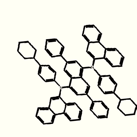 c1ccc(-c2cc(N(c3ccc(C4CCCCC4)cc3)c3cc4ccccc4c4ccccc34)c3cc(-c4ccccc4)cc(N(c4ccc(C5CCCCC5)cc4)c4cc5ccccc5c5ccccc45)c3c2)cc1